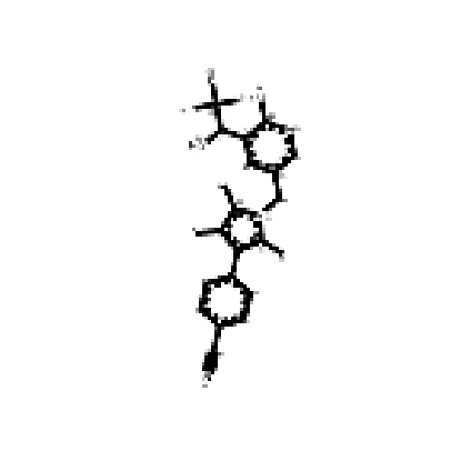 Cc1c(-c2ccc(C#N)cc2)c(C)n(Cc2cnc(Cl)c(C(O)C(F)(F)F)c2)c1C